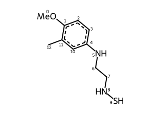 COc1ccc(NCCNS)cc1C